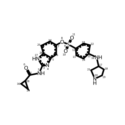 O=C(Nc1nc2cc(OS(=O)(=O)c3ccc(NC4CCNC4)cc3)ccc2[nH]1)C1CC1